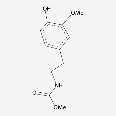 COC(=O)NCCc1ccc(O)c(OC)c1